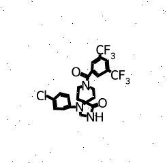 O=C(c1cc(C(F)(F)F)cc(C(F)(F)F)c1)N1CCC2(CC1)C(=O)NCN2c1ccc(Cl)cc1